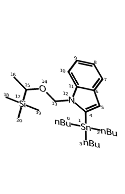 CCC[CH2][Sn]([CH2]CCC)([CH2]CCC)[c]1cc2ccccc2n1COC(C)[Si](C)(C)C